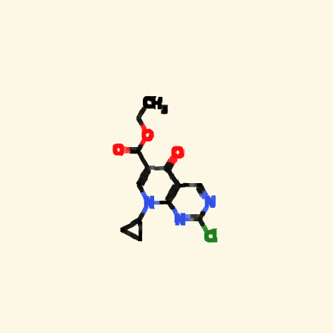 CCOC(=O)c1cn(C2CC2)c2nc(Cl)ncc2c1=O